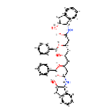 O=C(C[C@H](CC(O)C[C@@H](CC(=O)N[C@H]1c2ccccc2C[C@H]1O)OCc1ccccc1)OCc1ccccc1)N[C@H]1c2ccccc2C[C@H]1O